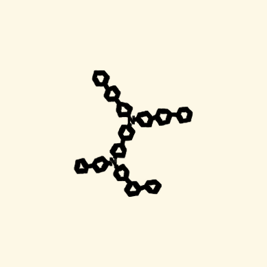 c1ccc(-c2ccc(-c3ccc(N(c4ccc(-c5ccc(-c6ccccc6)cc5)cc4)c4ccc(-c5ccc(N(c6ccc(-c7ccccc7)cc6)c6ccc(-c7cccc(-c8ccccc8)c7)cc6)cc5)cc4)cc3)cc2)cc1